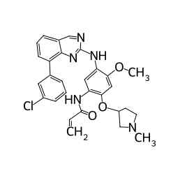 C=CC(=O)Nc1cc(Nc2ncc3cccc(-c4cccc(Cl)c4)c3n2)c(OC)cc1OC1CCN(C)C1